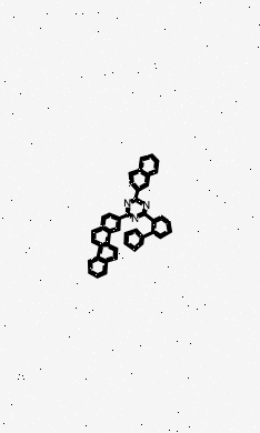 c1ccc(-c2ccccc2-c2nc(-c3ccc4ccccc4c3)nc(-c3ccc4ccc5c6ccccc6ccc5c4c3)n2)cc1